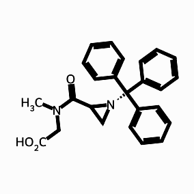 CN(CC(=O)O)C(=O)C1C[N@@]1C(c1ccccc1)(c1ccccc1)c1ccccc1